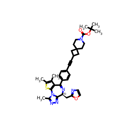 Cc1sc2c(c1C)C(c1ccc(C#CC3CC4(CCN(C(=O)OC(C)(C)C)CC4)C3)cc1)=N[C@@H](Cc1ncco1)c1nnc(C)n1-2